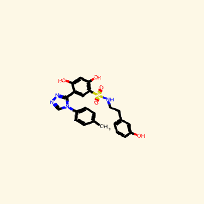 Cc1ccc(-n2cnnc2-c2cc(S(=O)(=O)NCCc3cccc(O)c3)c(O)cc2O)cc1